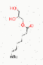 CCCCC=CCCCCC(=O)OCC(O)CO